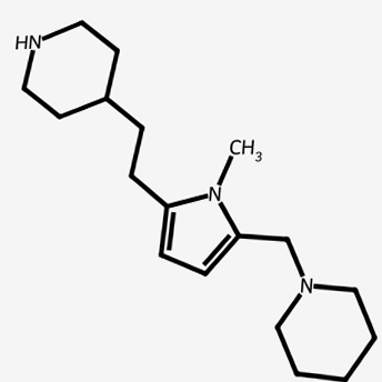 Cn1c(CCC2CCNCC2)ccc1CN1CCCCC1